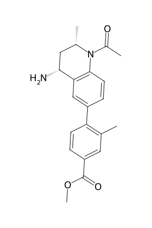 COC(=O)c1ccc(-c2ccc3c(c2)[C@H](N)C[C@H](C)N3C(C)=O)c(C)c1